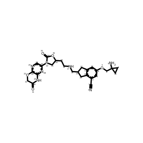 N#Cc1cc(OCC2(N)CC2)cc2c1CC(CNCCC1CN(c3cnc4c(n3)NC(=O)CO4)C(=O)O1)C2